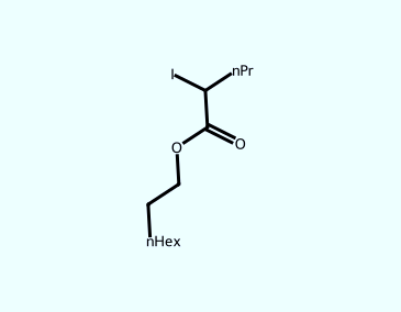 CCCCCCCCOC(=O)C(I)CCC